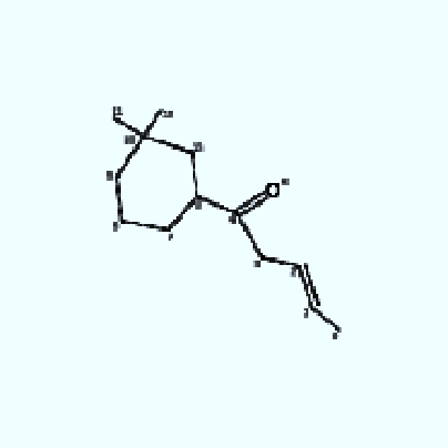 CC=CCC(=O)C1CCCC(C)(C)C1